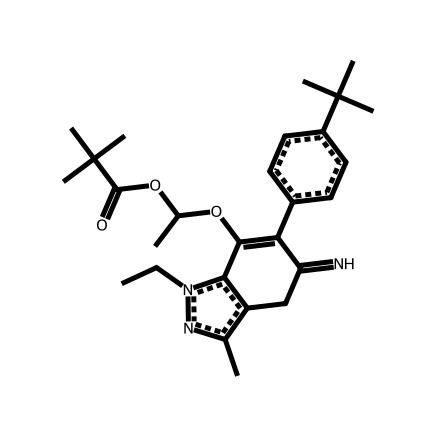 CCn1nc(C)c2c1C(OC(C)OC(=O)C(C)(C)C)=C(c1ccc(C(C)(C)C)cc1)C(=N)C2